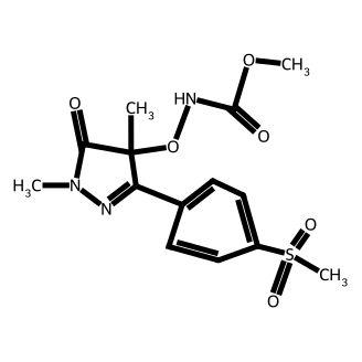 COC(=O)NOC1(C)C(=O)N(C)N=C1c1ccc(S(C)(=O)=O)cc1